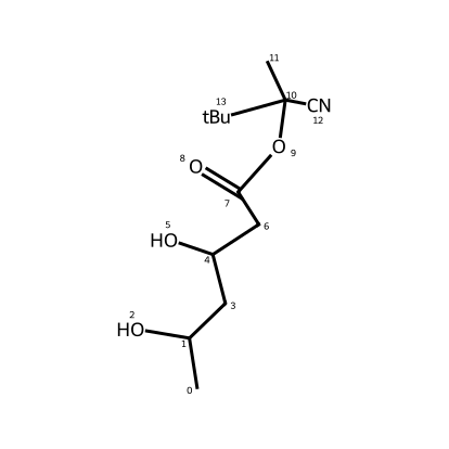 CC(O)CC(O)CC(=O)OC(C)(C#N)C(C)(C)C